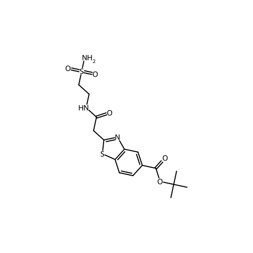 CC(C)(C)OC(=O)c1ccc2sc(CC(=O)NCCS(N)(=O)=O)nc2c1